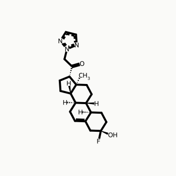 C[C@]12CC[C@H]3[C@@H](CC=C4C[C@@](O)(F)CC[C@@H]43)[C@@H]1CC[C@@H]2C(=O)Cn1nccn1